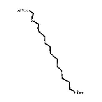 CCCCCCCCCCCCCCCCCCCCC[CH]SCCCCCCCCCCC